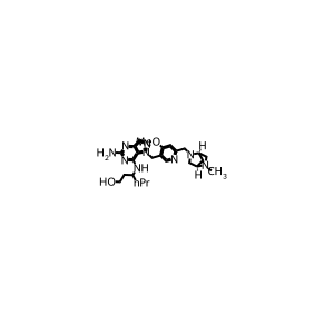 CCCC(CCO)Nc1nc(N)nc2cnn(Cc3cnc(CN4C[C@H]5C[C@@H]4CN5C)cc3OC)c12